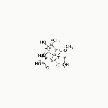 COCC(CO)(CO)C(C=C(C)C(=O)O)(C=C(C)C(=O)O)CO